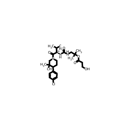 CC(C)[C@@H](NC(=O)NCC(C)(C)OC(=O)CCO)C(=O)N1CCC(c2ccc(Cl)cc2)C(C)(C)C1